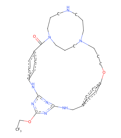 O=C1c2ccc(cc2)Nc2nc(nc(OCC(F)(F)F)n2)NCc2ccc(cc2)OCCCN2CCCNCCCN1CCC2